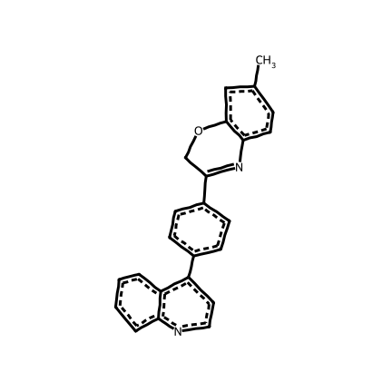 Cc1ccc2c(c1)OCC(c1ccc(-c3ccnc4ccccc34)cc1)=N2